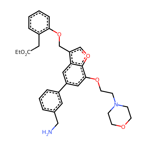 CCOC(=O)Cc1ccccc1OCc1coc2c(OCCN3CCOCC3)cc(-c3cccc(CN)c3)cc12